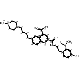 COC[C@H](Cc1ccc(O)cc1)NC(=O)c1cc(C(=O)O)c2cc(CCCCN3CCN(C)CC3)ccc2n1